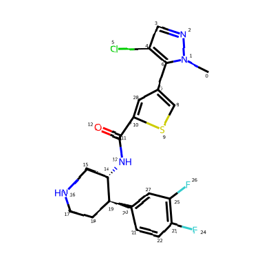 Cn1ncc(Cl)c1-c1csc(C(=O)N[C@H]2CNCC[C@@H]2c2ccc(F)c(F)c2)c1